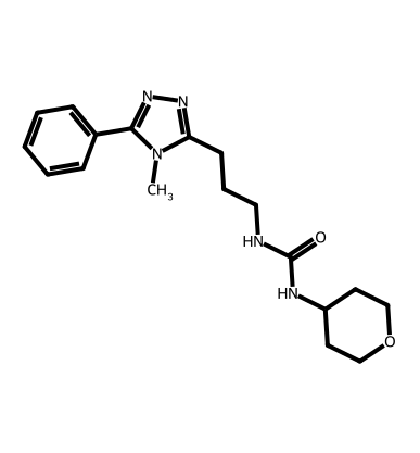 Cn1c(CCCNC(=O)NC2CCOCC2)nnc1-c1ccccc1